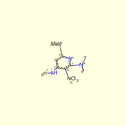 CCCNc1cc(NC)nc(N(C)C)c1[N+](=O)[O-]